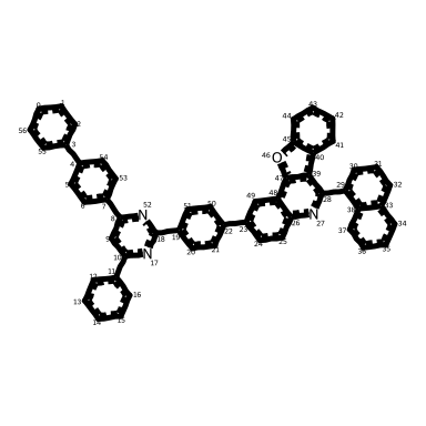 c1ccc(-c2ccc(-c3cc(-c4ccccc4)nc(-c4ccc(-c5ccc6nc(-c7cccc8ccccc78)c7c8ccccc8oc7c6c5)cc4)n3)cc2)cc1